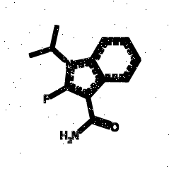 CC(C)n1c(F)c(C(N)=O)c2ccccc21